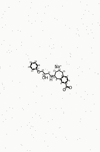 O=C([O-])c1ccc2c(c1)CC(NC[C@H](O)COc1ccccc1)CCC2.[Na+]